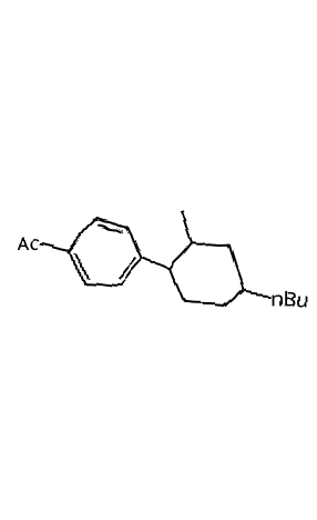 CCCCC1CCC(c2ccc(C(C)=O)cc2)C(C)C1